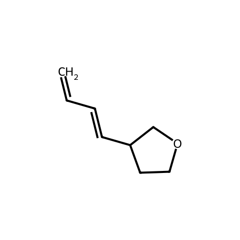 C=C/C=C/C1CCOC1